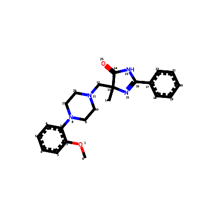 COc1ccccc1N1CCN(CC2(C)N=C(c3ccccc3)NC2=O)CC1